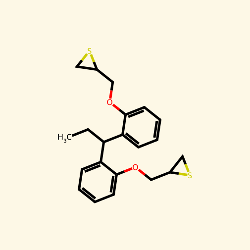 CCC(c1ccccc1OCC1CS1)c1ccccc1OCC1CS1